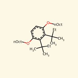 CCCCCCCCOc1ccc(OCCCCCCCC)c(C(C)(C)CC)c1C(C)(C)CC